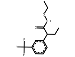 CCONC(=O)C(CC)c1cccc(C(F)(F)F)c1